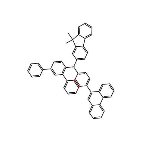 CC1(C)c2ccccc2-c2ccc(N(c3ccc(-c4cc5ccccc5c5ccccc45)cc3)c3ccc(-c4ccccc4)cc3-c3ccccc3)cc21